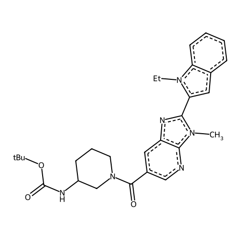 CCn1c(-c2nc3cc(C(=O)N4CCCC(NC(=O)OC(C)(C)C)C4)cnc3n2C)cc2ccccc21